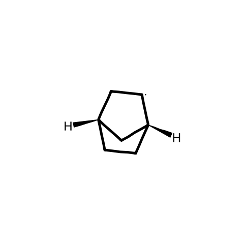 [CH]1C[C@H]2CC[C@@H]1C2